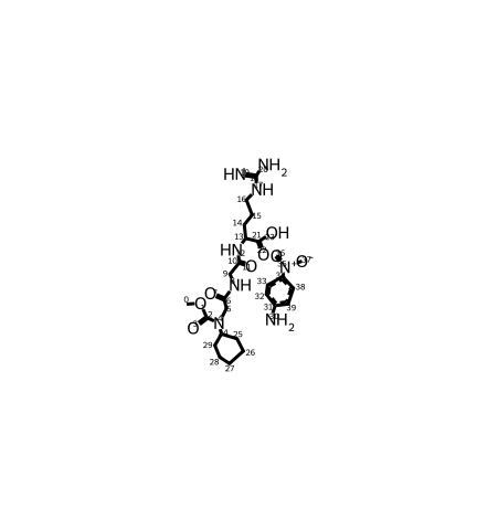 COC(=O)N(CC(=O)NCC(=O)NC(CCCNC(=N)N)C(=O)O)C1CCCCC1.Nc1ccc([N+](=O)[O-])cc1